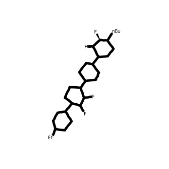 CCCCC1CCC(C2CCC(C3CCC(C4CCC(CC)CC4)C(F)C3F)CC2)C(F)[C@H]1F